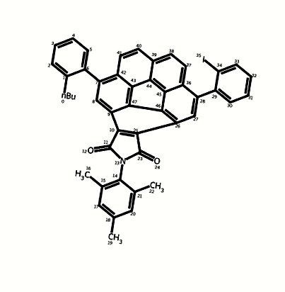 CCCCc1ccccc1-c1cc2c3c(=O)n(-c4c(C)cc(C)cc4C)c(=O)c3c3cc(-c4ccccc4I)c4ccc5ccc1c1c5c4c3c21